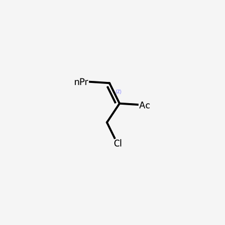 CCC/C=C(\CCl)C(C)=O